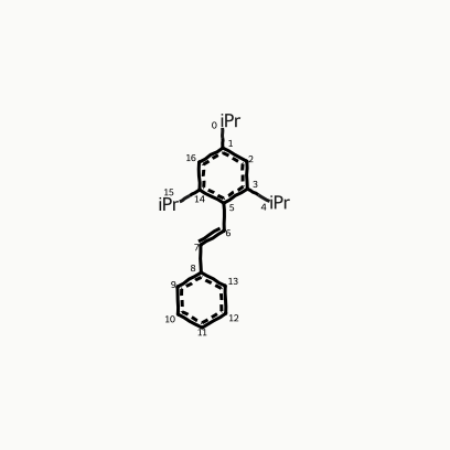 CC(C)c1cc(C(C)C)c(C=Cc2ccccc2)c(C(C)C)c1